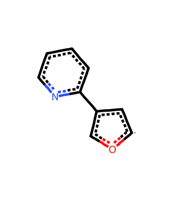 [c]1cc(-c2ccccn2)co1